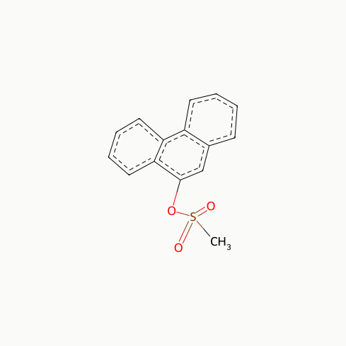 CS(=O)(=O)Oc1cc2ccccc2c2ccccc12